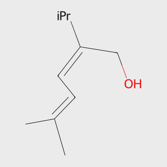 CC(C)=CC=C(CO)C(C)C